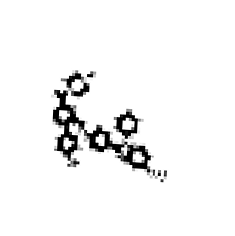 CN1CCN(C(=O)c2ccc(-c3ccc(O)cc3)c(COc3ccc(-c4nc5cc(C(=O)O)ccc5n4C4CCCCC4)cc3)c2)CC1